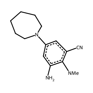 CNc1c(N)cc(N2CCCCCC2)cc1C#N